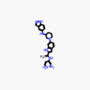 C=C(NC(/C=C\N)=C/N)c1cc2ccc(N3CCCC(Nc4ccc5[nH]ncc5c4)C3)cc2[nH]1